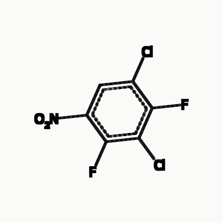 O=[N+]([O-])c1cc(Cl)c(F)c(Cl)c1F